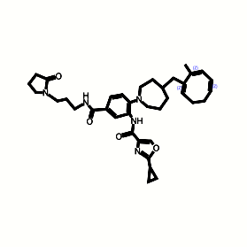 CC1=C/C=C\CC/C=C\1CC1CCCN(c2ccc(C(=O)NCCCN3CCCC3=O)cc2NC(=O)c2coc(C3CC3)n2)CC1